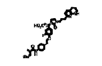 CC(CC(C)(C)C)C(=O)N[C@H]1CC[C@H](CCOc2ccc([C@H](CC(=O)O)N3CCN(CCCc4ccc5c(n4)NCCC5)C3=O)cc2F)CC1